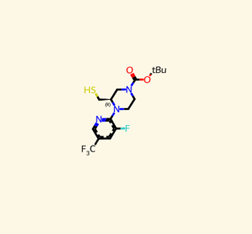 CC(C)(C)OC(=O)N1CCN(c2ncc(C(F)(F)F)cc2F)[C@@H](CS)C1